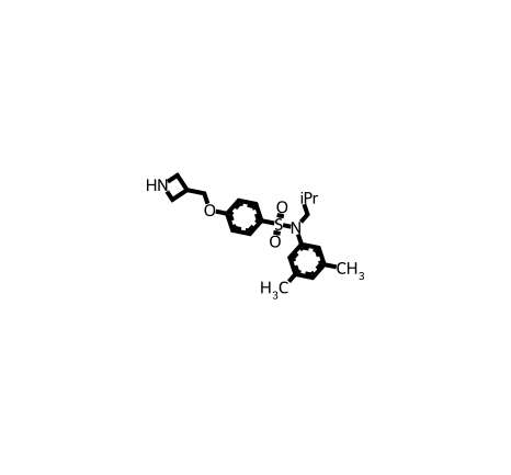 Cc1cc(C)cc(N(CC(C)C)S(=O)(=O)c2ccc(OCC3CNC3)cc2)c1